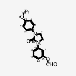 CC(C)Oc1ccc(N2CCN(c3cccc(OC=O)c3)C2=O)cc1